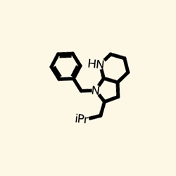 CC(C)CC1CC2CCCNC2N1Cc1ccccc1